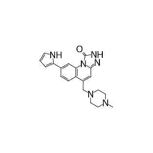 CN1CCN(Cc2cc3n[nH]c(=O)n3c3cc(-c4ccc[nH]4)ccc23)CC1